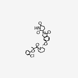 CC(Oc1ccccc1Cl)C(=O)N1CCCC[C@H]1COc1ccc2c(c1)CN(C1CCC(=O)NC1=O)C2=O